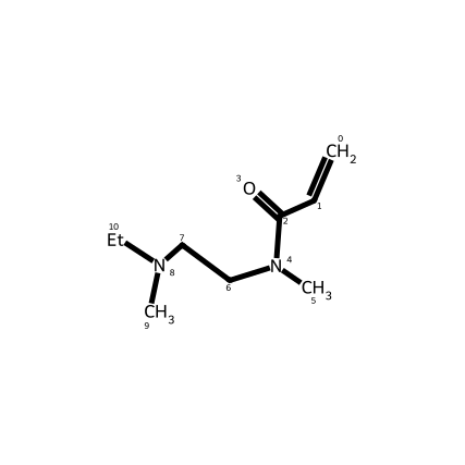 C=CC(=O)N(C)CCN(C)CC